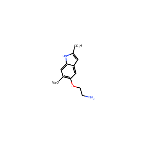 COc1cc2[nH]c(C(=O)O)cc2cc1OCCN